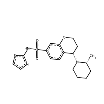 C[C@@H]1CCCCN1[C@H]1CCOc2cc(S(=O)(=O)Nc3nccs3)ccc21